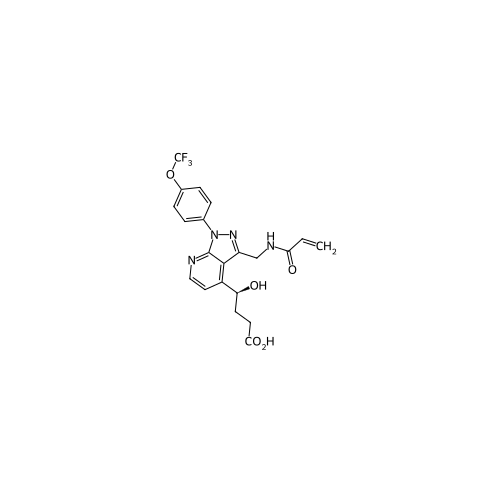 C=CC(=O)NCc1nn(-c2ccc(OC(F)(F)F)cc2)c2nccc([C@@H](O)CCC(=O)O)c12